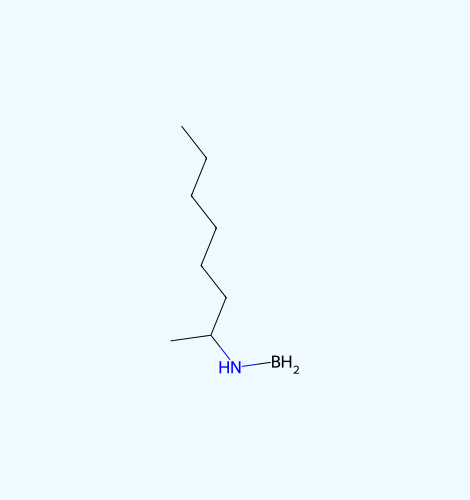 BNC(C)CCCCCC